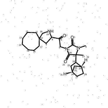 CN1C(=O)N(CC(=O)C2CC3(CCCCCCC3)CN2)C(=O)C1(C)C1C[C@H]2CC[C@@H]1C2